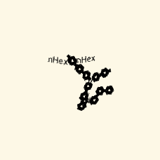 CCCCCCc1cc(-c2ccc(-c3ccc(N(c4ccc(-c5ccc(C)cc5)cc4)c4ccc(-c5ccc6c7ccccc7n(-c7cccc(-c8cccc(-c9ccccc9)c8)c7)c6c5)cc4)cc3)cc2)c(CCCCCC)cc1C